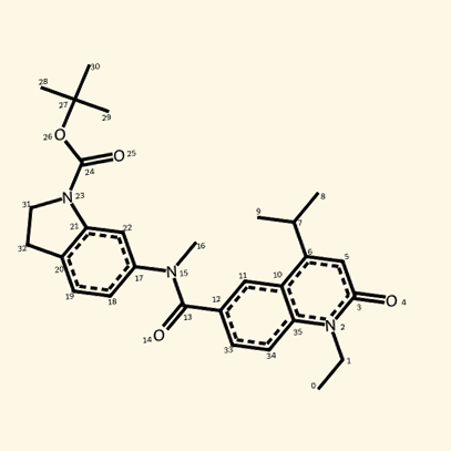 CCn1c(=O)cc(C(C)C)c2cc(C(=O)N(C)c3ccc4c(c3)N(C(=O)OC(C)(C)C)CC4)ccc21